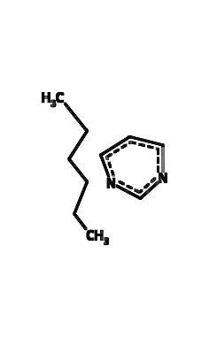 CCCCCC.c1cncnc1